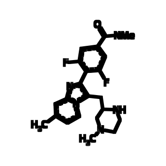 CNC(=O)c1cc(F)c(-c2nc3cc(C)ccn3c2CC2CN(C)CCN2)c(F)c1